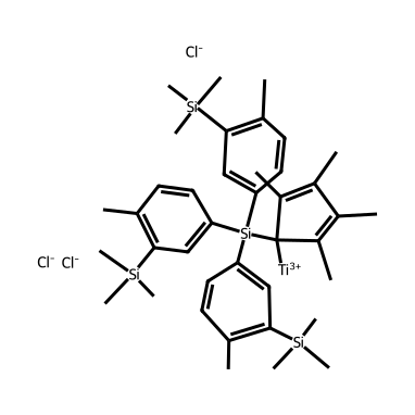 CC1=C(C)[C]([Ti+3])([Si](c2ccc(C)c([Si](C)(C)C)c2)(c2ccc(C)c([Si](C)(C)C)c2)c2ccc(C)c([Si](C)(C)C)c2)C(C)=C1C.[Cl-].[Cl-].[Cl-]